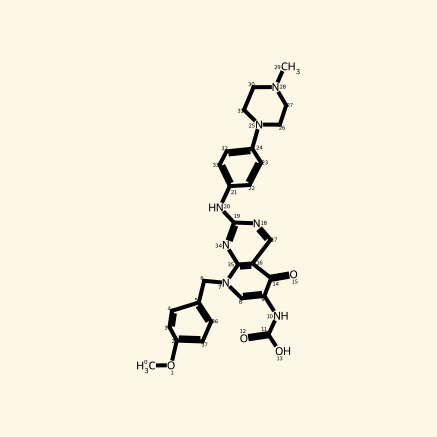 COc1ccc(Cn2cc(NC(=O)O)c(=O)c3cnc(Nc4ccc(N5CCN(C)CC5)cc4)nc32)cc1